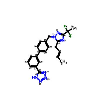 CC=CCc1nc(C(F)(F)CCC)nn1Cc1ccc(-c2cccc(-c3nnn[nH]3)c2)cc1